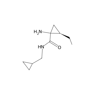 CC[C@@H]1CC1(N)C(=O)NCC1CC1